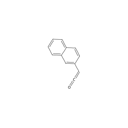 O=C=Cc1ccc2ccccc2c1